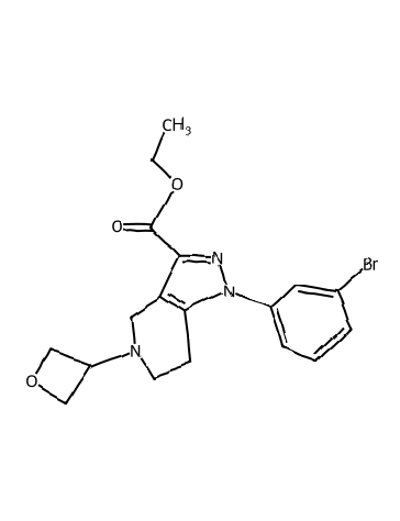 CCOC(=O)c1nn(-c2cccc(Br)c2)c2c1CN(C1COC1)CC2